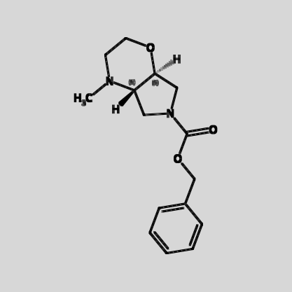 CN1CCO[C@H]2CN(C(=O)OCc3ccccc3)C[C@@H]21